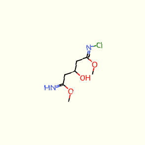 COC(=N)CC(O)C/C(=N/Cl)OC